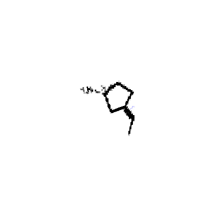 C/C=C1/CC[C@@H](N)C1